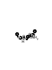 NC1=N[C@@H](c2ccccc2)CN1S(=O)(=O)c1ccc2c(c1)CCN2C(=O)NC1CCN(Cc2ccccc2)CC1